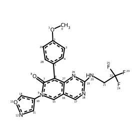 COc1ccc(-c2c(=O)n(-c3cnoc3)cc3cnc(NCC(F)(F)F)nc23)cc1